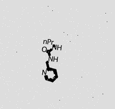 CCCNC(=O)NCc1ccccn1